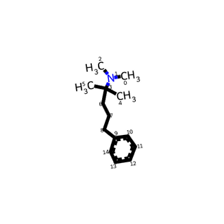 CN(C)C(C)(C)CCCc1ccccc1